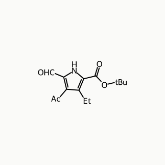 CCc1c(C(=O)OC(C)(C)C)[nH]c(C=O)c1C(C)=O